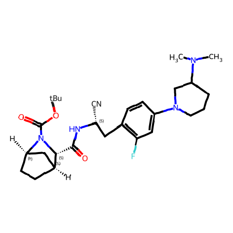 CN(C)C1CCCN(c2ccc(C[C@@H](C#N)NC(=O)[C@@H]3[C@H]4CC[C@H](C4)N3C(=O)OC(C)(C)C)c(F)c2)C1